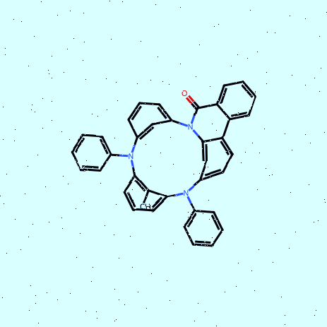 Cc1c2cccc1n(-c1ccccc1)c1ccc3c4ccccc4c(=O)n(c4cccc(c4)n2-c2ccccc2)c3c1